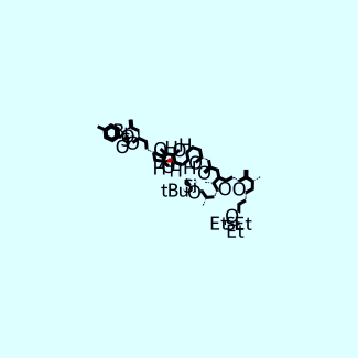 C=C(Br)C[C@@H](CC[C@@]12C[C@H]3O[C@H]4C(O1)[C@H]1O[C@@H](CC(=O)CC5C(C[C@H]6O[C@@H](CCCO[Si](CC)(CC)CC)C[C@@H](C)C6=C)O[C@H](C[C@H](C)CO[Si](C)(C)C(C)(C)C)[C@@H]5C)CC[C@@H]1O[C@H]4[C@H]3O2)OS(=O)(=O)c1ccc(C)cc1